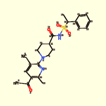 CCCC(=O)c1cc(C#N)c(N2CCC(C(=O)NS(=O)(=O)C(C)c3ccccc3)CC2)nc1C